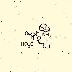 NC12CC3CC(CC(C3)C1)C2.O=C(O)[C@H]1/C(=C/CO)O[C@@H]2CC(=O)N21